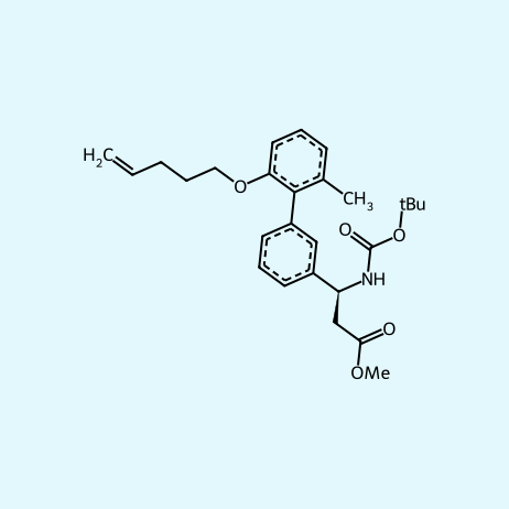 C=CCCCOc1cccc(C)c1-c1cccc([C@H](CC(=O)OC)NC(=O)OC(C)(C)C)c1